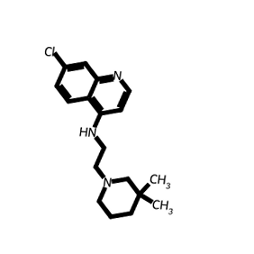 CC1(C)CCCN(CCNc2ccnc3cc(Cl)ccc23)C1